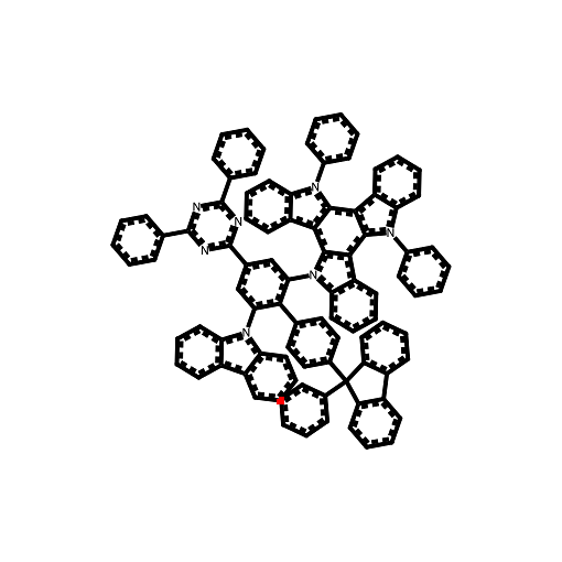 c1ccc(-c2nc(-c3ccccc3)nc(-c3cc(-n4c5ccccc5c5ccccc54)c(-c4ccc(C5(c6ccccc6)c6ccccc6-c6ccccc65)cc4)c(-n4c5ccccc5c5c6c(c7ccccc7n6-c6ccccc6)c6c(c7ccccc7n6-c6ccccc6)c54)c3)n2)cc1